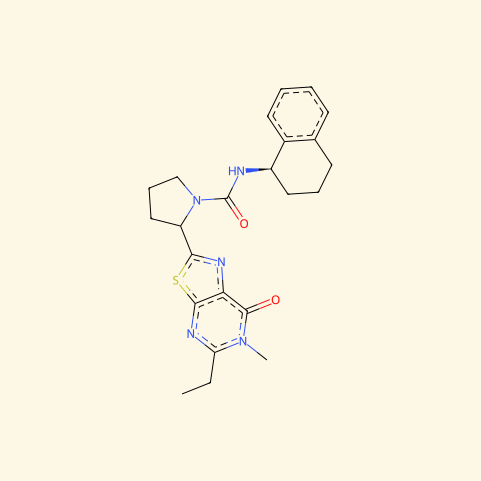 CCc1nc2sc(C3CCCN3C(=O)N[C@@H]3CCCc4ccccc43)nc2c(=O)n1C